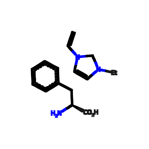 C=CN1C=CN(CC)C1.N[C@@H](Cc1ccccc1)C(=O)O